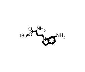 CC(C)(C)OC(=O)C(N)CCN1CCc2ccc(N)cc21